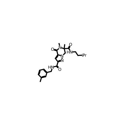 Cc1cccc(CNC(=O)c2cc3n(n2)CC(C)(C(=O)NCCC(C)C)N(C)C3=O)c1